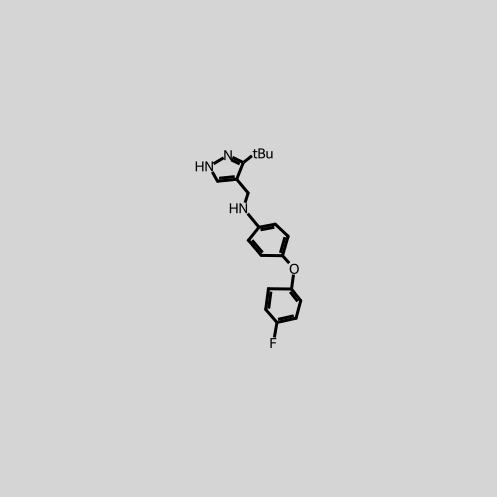 CC(C)(C)c1n[nH]cc1CNc1ccc(Oc2ccc(F)cc2)cc1